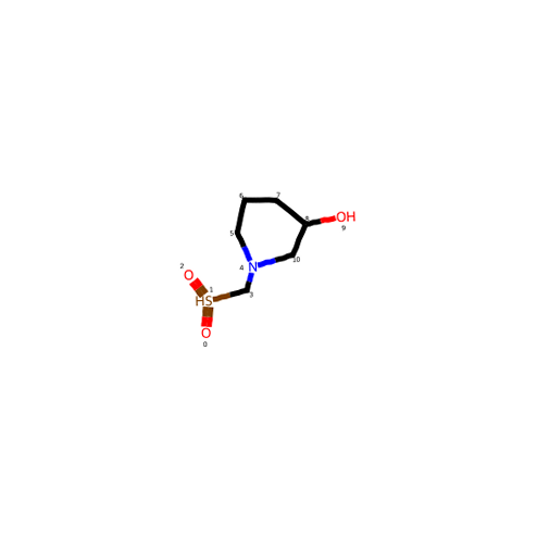 O=[SH](=O)CN1CCCC(O)C1